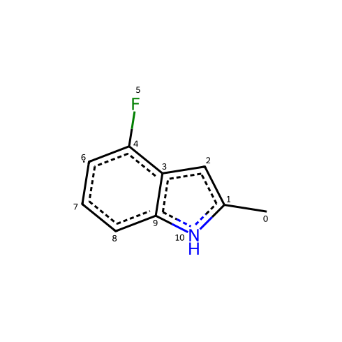 Cc1cc2c(F)[c]ccc2[nH]1